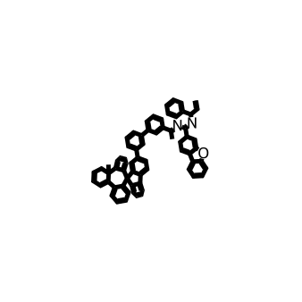 C=CC(/N=C(\N=C(/C)c1cccc(-c2cccc(-c3ccc4c(c3)C3(c5ccccc5C5=CC=CCC5(C)c5ccccc53)c3ccccc3-4)c2)c1)C1C=c2oc3ccccc3c2=CC1)c1ccccc1